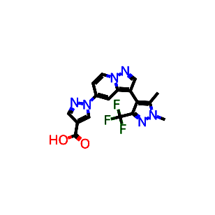 Cc1c(-c2cnn3ccc(-n4cc(C(=O)O)cn4)cc23)c(C(F)(F)F)nn1C